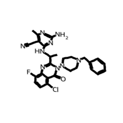 Cc1nc(N)nc(NC(C)c2nc3c(F)ccc(Cl)c3c(=O)n2N2CCN(Cc3ccccc3)CC2)c1C#N